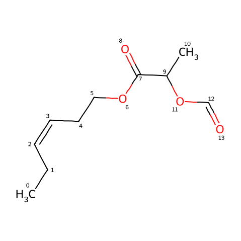 CC/C=C\CCOC(=O)C(C)OC=O